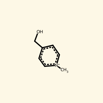 C[n+]1ccc(CO)cc1